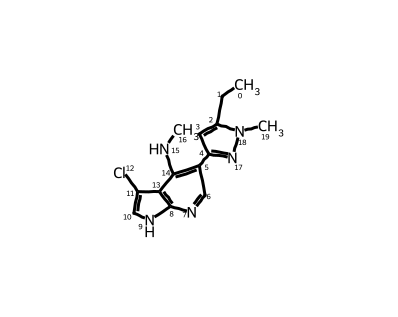 CCc1cc(-c2cnc3[nH]cc(Cl)c3c2NC)nn1C